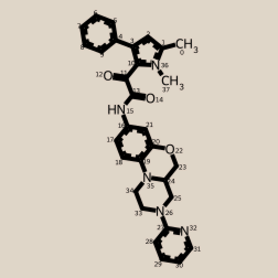 Cc1cc(-c2ccccc2)c(C(=O)C(=O)Nc2ccc3c(c2)OCC2CN(c4ccccn4)CCN32)n1C